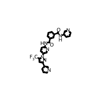 O=C(Nc1cccnc1)c1cccc(C(=O)Nc2ccc(-n3nc(-c4cccnc4)cc3C(F)(F)F)cn2)c1